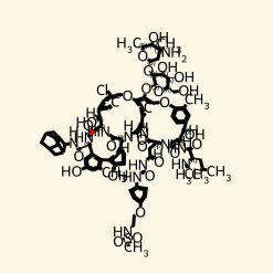 CN[C@H](CC(C)C)C(=O)N[C@H]1C(=O)N[C@@H](CC(=O)NC(=O)Nc2ccc(OCCNS(C)(=O)=O)cc2)C(=O)N[C@H]2C(=O)N[C@H]3C(=O)N[C@H](C(=O)N[C@H](C(=O)NC4C5CC6CC(C5)CC4C6)c4cc(O)cc(C)c4-c4cc3ccc4O)[C@H](O)c3ccc(c(Cl)c3)Oc3cc2cc(c3O[C@@H]2O[C@H](CO)[C@@H](O)[C@H](O)[C@H]2O[C@H]2C[C@](C)(N)[C@H](O)[C@H](C)O2)Oc2ccc(cc2C)[C@H]1O